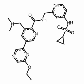 CCOc1cncc(-c2cnc(C(=O)NCc3cc(NS(=O)(=O)C4CC4)ccn3)c(CN(C)C)c2)n1